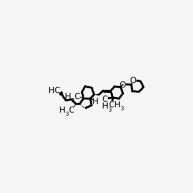 C#CCC[C@@H](C)[C@H]1CC[C@H]2[C@H](C/C=C3/C[C@@H](OC4CCCCO4)CCC3(C)C)CCC[C@]12C